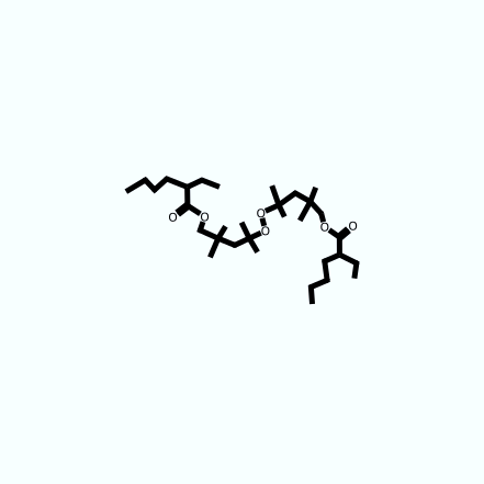 CCCCC(CC)C(=O)OCC(C)(C)CC(C)(C)OOC(C)(C)CC(C)(C)COC(=O)C(CC)CCCC